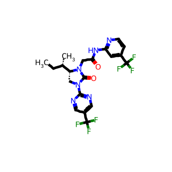 CC[C@H](C)[C@H]1CN(c2ncc(C(F)(F)F)cn2)C(=O)N1CC(=O)Nc1cc(C(F)(F)F)ccn1